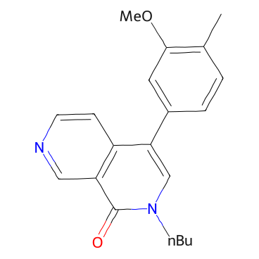 CCCCn1cc(-c2ccc(C)c(OC)c2)c2ccncc2c1=O